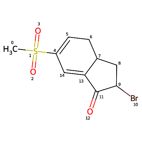 CS(=O)(=O)C1=CCC2CC(Br)C(=O)C2=C1